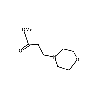 COC(=O)CCN1CCOCC1